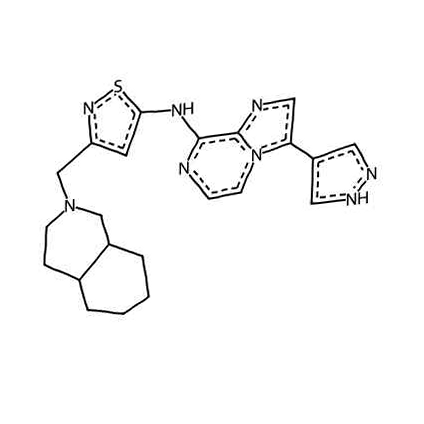 c1cn2c(-c3cn[nH]c3)cnc2c(Nc2cc(CN3CCC4CCCCC4C3)ns2)n1